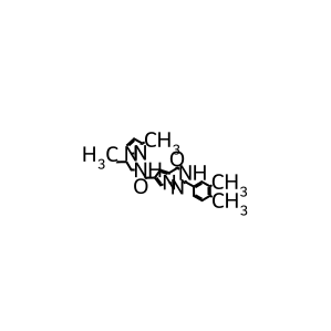 CCC(CNC(=O)c1cc2c(=O)[nH]c(-c3ccc(C)c(C)c3)nn2c1)n1ccc(C)n1